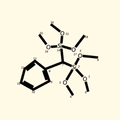 CO[Si](OC)(OC)C(c1ccccc1)[Si](OC)(OC)OC